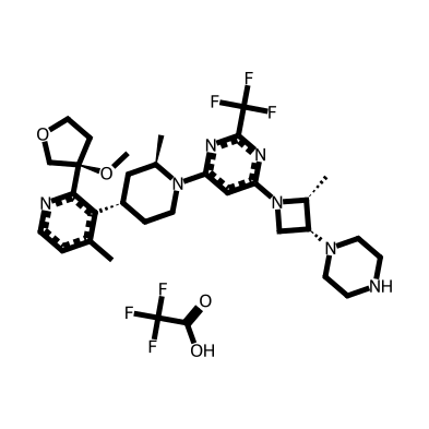 CO[C@]1(c2nccc(C)c2[C@H]2CCN(c3cc(N4C[C@@H](N5CCNCC5)[C@H]4C)nc(C(F)(F)F)n3)[C@H](C)C2)CCOC1.O=C(O)C(F)(F)F